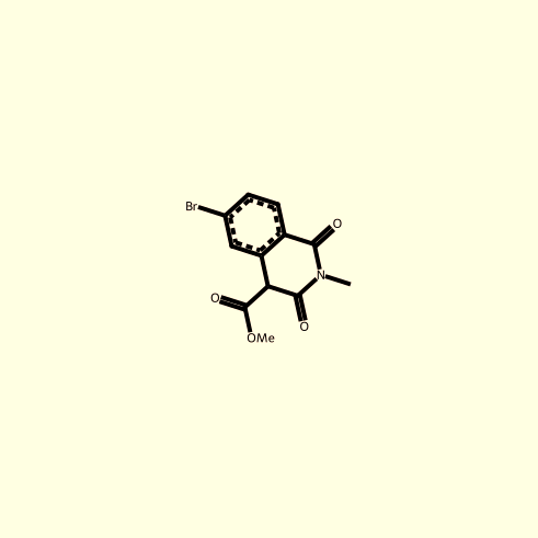 COC(=O)C1C(=O)N(C)C(=O)c2ccc(Br)cc21